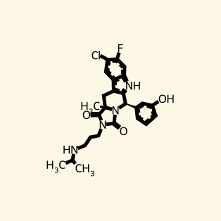 CC(C)NCCCN1C(=O)N2[C@H](c3cccc(O)c3)c3[nH]c4cc(F)c(Cl)cc4c3C[C@@]2(C)C1=O